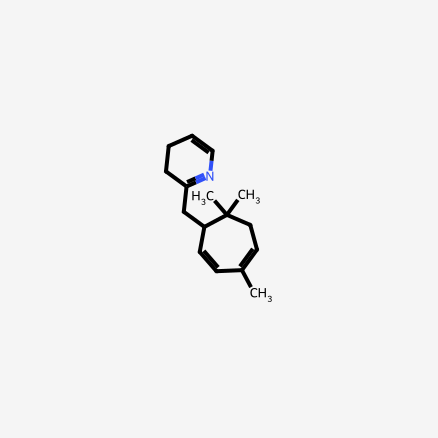 CC1=CCC(C)(C)C(CC2=NC=CCC2)C=C1